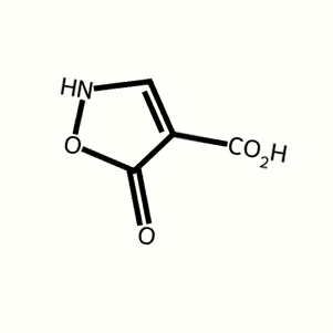 O=C(O)c1c[nH]oc1=O